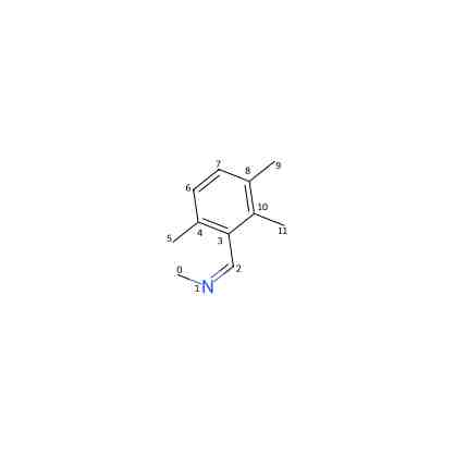 C/N=C\c1c(C)ccc(C)c1C